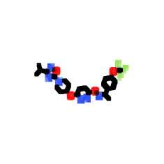 CC(=NOc1ccc(OC2CCN(c3nc(C(C)C)no3)CC2)nn1)c1ccc(OC(F)(F)F)cc1